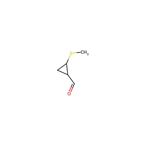 CSC1CC1C=O